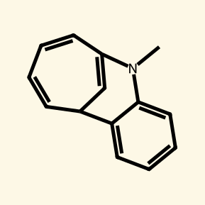 CN1C2=CC(C=CC=C2)c2ccccc21